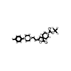 Cc1ccc(N2CCN(CCC3CC4(CCN(C(=O)OC(C)(C)C)CC4)C(=O)O3)CC2)cc1